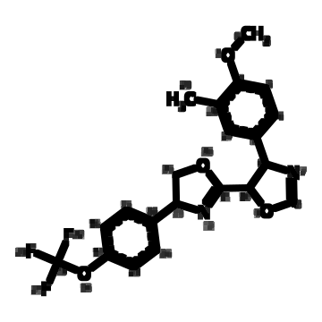 COc1ccc(C2N=[C]OC2C2=NC(c3ccc(OC(F)(F)F)cc3)CO2)cc1C